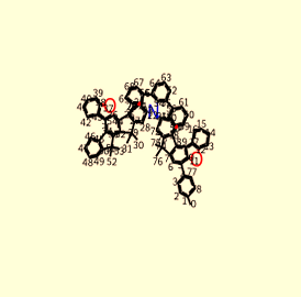 Cc1ccc(-c2cc3c(c4c2oc2ccccc24)-c2ccc(N(c4ccc5c(c4)C(C)(C)c4c6c(c7c(oc8ccccc87)c4-5)-c4ccccc4C6(C)C)c4c(-c5ccccc5)cccc4-c4ccccc4)cc2C3(C)C)cc1